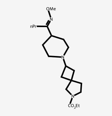 CCC/C(=N\OC)C1CCN(C2CC3(CCN(C(=O)OCC)C3)C2)CC1